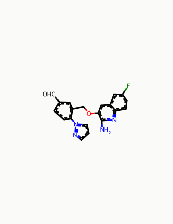 Nc1nc2ccc(F)cc2cc1OCc1cc(C=O)ccc1-n1cccn1